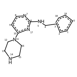 c1ccc(CNc2nccc(N3CCNCC3)n2)cc1